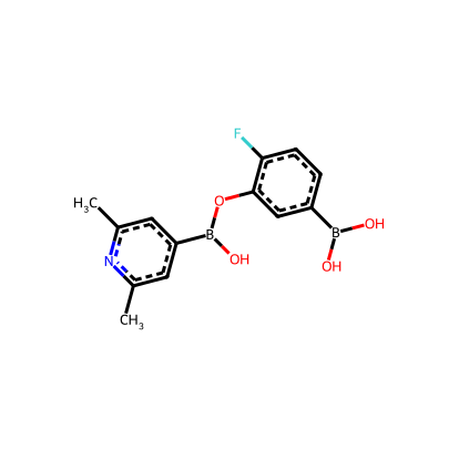 Cc1cc(B(O)Oc2cc(B(O)O)ccc2F)cc(C)n1